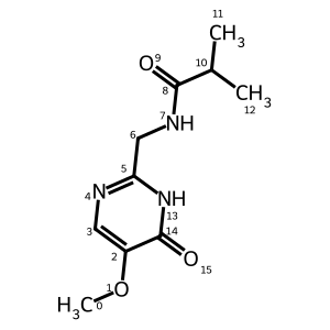 COc1cnc(CNC(=O)C(C)C)[nH]c1=O